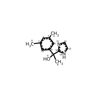 Cc1cc(C)cc(C(C)(O)c2ncc[nH]2)c1